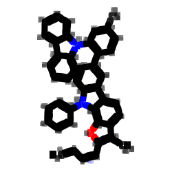 C=C/C=C\c1oc2c(ccc3c4cc(-c5ccc(C#N)cc5-n5c6ccccc6c6ccccc65)ccc4n(-c4ccccc4)c32)c1C